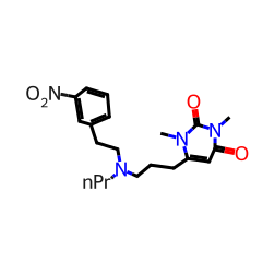 CCCN(CCCc1cc(=O)n(C)c(=O)n1C)CCc1cccc([N+](=O)[O-])c1